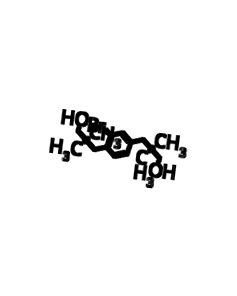 CC(C)(CO)Cc1ccc(CC(C)(C)CO)c(Br)c1